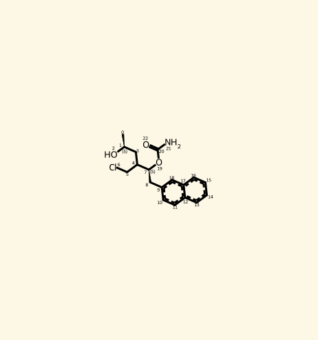 C[C@H](O)CC(CCl)[C@H](Cc1ccc2ccccc2c1)OC(N)=O